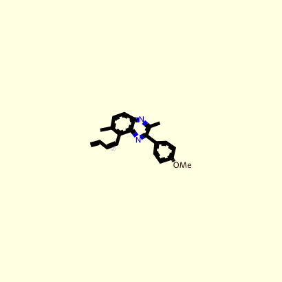 C=C/C=C\c1c(C)ccc2nc(C)c(-c3ccc(OC)cc3)nc12